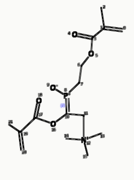 C=C(C)C(=O)OCC/[P+]([O-])=C(\C[N+](C)(C)C)OC(=O)C(=C)C